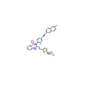 Cc1ccc2cc(C#Cc3ccc(-n4c(/C=C/c5ccc([N+](=O)[O-])s5)nc5ccccc5c4=O)c(C)c3)ccc2c1